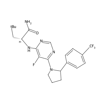 CC(C)(C)C[C@@H](Nc1ncnc(N2CCCC2c2ccc(C(F)(F)F)cc2)c1F)C(N)=O